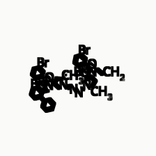 C=CCN([C@@H]1C[C@H](C)N(C#N)C1)S(=O)(=O)c1cc(Br)ccc1Br.C[C@H]1C[C@@H](N(Cc2ccccc2-c2ccccc2)S(=O)(=O)c2cc(Br)ccc2Br)CN1C#N